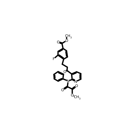 COC(=O)C(=O)N(c1ccccc1)c1ncccc1C(=O)CCc1ccc(C(=O)OC)cc1F